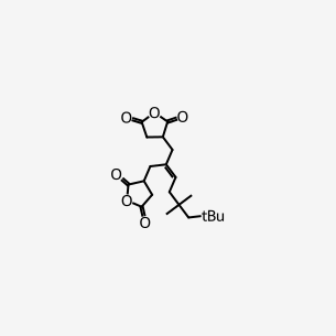 CC(C)(C)CC(C)(C)CC=C(CC1CC(=O)OC1=O)CC1CC(=O)OC1=O